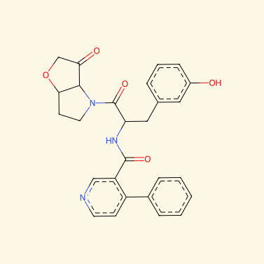 O=C(NC(Cc1cccc(O)c1)C(=O)N1CCC2OCC(=O)C21)c1cnccc1-c1ccccc1